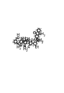 CCc1cccc(N)c1.COc1ccc(C)cc1N.Cc1ccc(C(=O)c2ccccc2)c(N)c1.N#Cc1ccc(N)cc1.Nc1ccc(Br)cc1.Nc1cccc(CO)c1